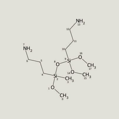 CO[Si](C)(CCCN)O[Si](CCCN)(OC)OC